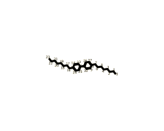 CCCCCCCCc1ccc(-c2ccc(CCCCCCCC)cc2)cc1